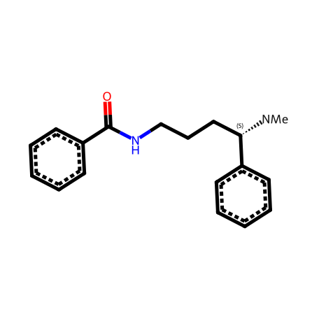 CN[C@@H](CCCNC(=O)c1ccccc1)c1ccccc1